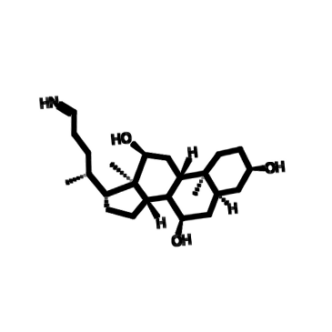 C[C@H](CCC=N)[C@H]1CC[C@H]2C3[C@H](O)C[C@@H]4C[C@H](O)CC[C@]4(C)[C@H]3C[C@H](O)[C@]12C